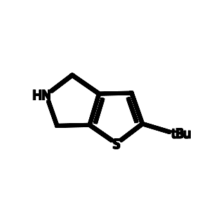 CC(C)(C)c1cc2c(s1)CNC2